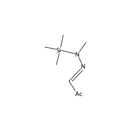 CC(=O)C=NN(C)[Si](C)(C)C